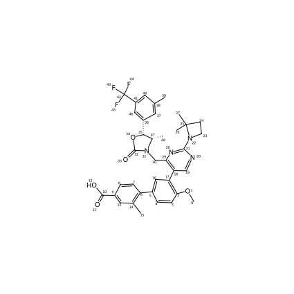 COc1ccc(-c2ccc(C(=O)O)cc2C)cc1-c1cnc(N2CCC2(C)C)nc1CN1C(=O)O[C@H](c2cc(C)cc(C(F)(F)F)c2)[C@@H]1C